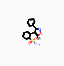 CCCc1onc(-c2ccccc2)c1-c1ccccc1S(N)(=O)=O